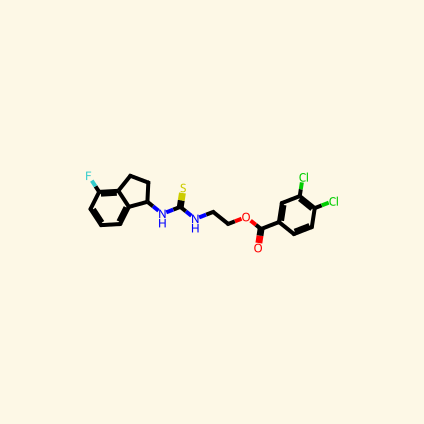 O=C(OCCNC(=S)NC1CCc2c(F)cccc21)c1ccc(Cl)c(Cl)c1